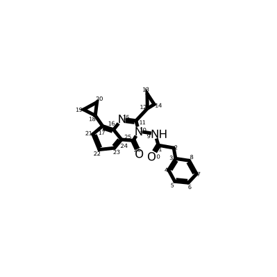 O=C(Cc1ccccc1)Nn1c(C2CC2)nc2c(C3CC3)cccc2c1=O